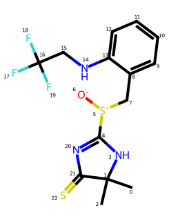 CC1(C)NC([S+]([O-])Cc2ccccc2NCC(F)(F)F)=NC1=S